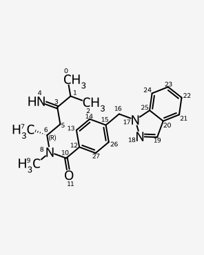 CC(C)C(=N)C[C@@H](C)N(C)C(=O)c1ccc(Cn2ncc3ccccc32)cc1